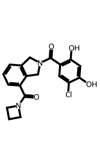 O=C(c1cc(Cl)c(O)cc1O)N1Cc2cccc(C(=O)N3CCC3)c2C1